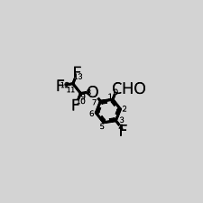 O=Cc1cc(F)ccc1OC(F)C(F)F